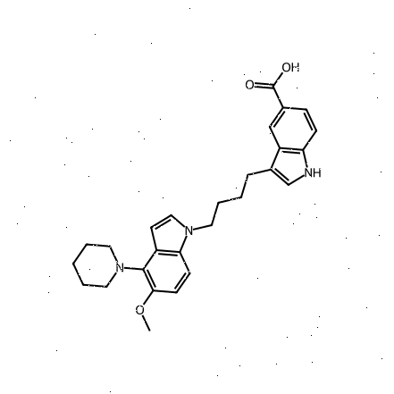 COc1ccc2c(ccn2CCCCc2c[nH]c3ccc(C(=O)O)cc23)c1N1CCCCC1